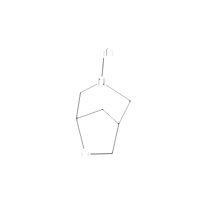 CC(C)N1CC2COC(C2)C1